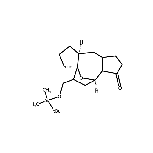 CC(C)(C)[Si](C)(C)OCC1C[C@H]2O[C@@]13CCC[C@H]3CC1CCC(=O)C12